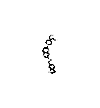 OCC1(CO)CCN(c2ccc3ncc(NCc4ccc5cc[nH]c5c4)nc3n2)CC1